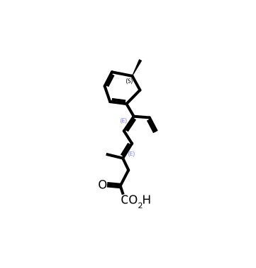 C=C/C(=C\C=C(/C)CC(=O)C(=O)O)C1=CC=C[C@@H](C)C1